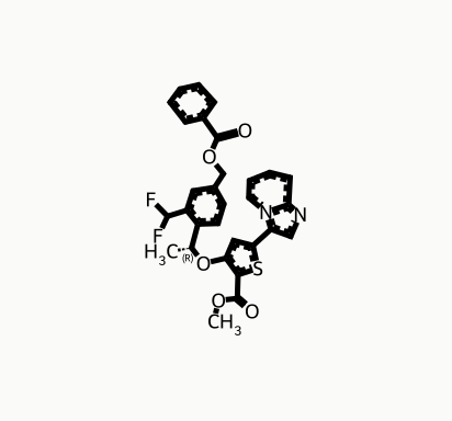 COC(=O)c1sc(-c2cnc3ccccn23)cc1O[C@H](C)c1ccc(COC(=O)c2ccccc2)cc1C(F)F